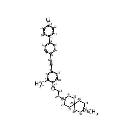 Cc1cc(C#Cc2ccc(-c3ccc(Cl)cc3)cn2)ccc1OCCN1CCC2(CCN(C)CC2)CC1